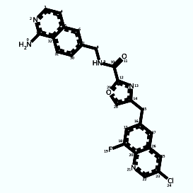 Nc1nccc2cc(CNC(=O)c3nc(Cc4cc(F)c5ncc(Cl)cc5c4)co3)ccc12